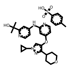 CC(C)(O)c1cc(Nc2cc(Oc3cn(C4CC4)nc3C3CCOCC3)ccn2)ccn1.Cc1ccc(S(=O)(=O)O)cc1